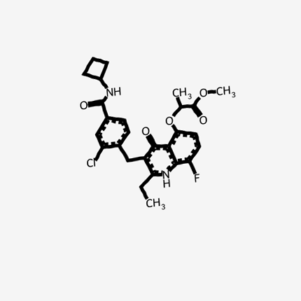 CCc1[nH]c2c(F)ccc(OC(C)C(=O)OC)c2c(=O)c1Cc1ccc(C(=O)NC2CCC2)cc1Cl